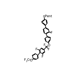 CCCCCc1ccc(-c2ccc(-c3ccc(OC(F)(F)c4cc(F)c(-c5ccc(OC(F)(F)F)cc5)c(F)c4)cc3)c(F)c2)cc1